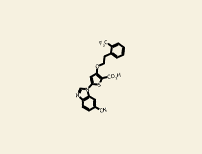 N#Cc1ccc2ncn(-c3cc(OCCc4ccccc4C(F)(F)F)c(C(=O)O)s3)c2c1